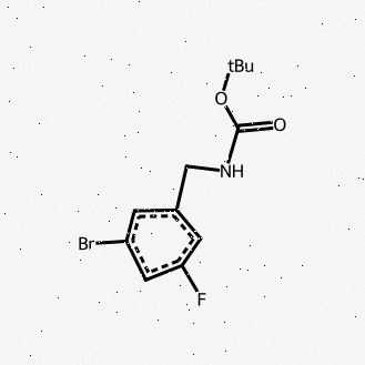 CC(C)(C)OC(=O)NCc1cc(F)cc(Br)c1